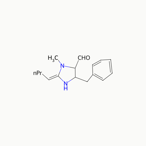 CCCC=C1NC(Cc2ccccc2)C(C=O)N1C